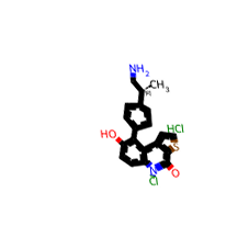 C[C@@H](CN)c1ccc(-c2c(O)ccc3c2c2ccsc2c(=O)n3Cl)cc1.Cl